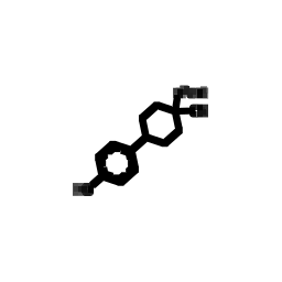 CCCCCC1(C#N)CCC(c2ccc(O)cc2)CC1